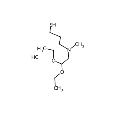 CCOC(CN(C)CCCS)OCC.Cl